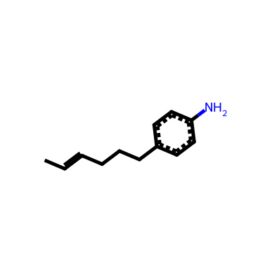 CC=CCCCc1ccc(N)cc1